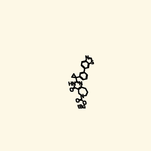 CC(C)(C)OC(=O)N1CCCc2nc(C3(c4cccc(-c5ccc6ncsc6c5)c4)CC3)[nH]c(=O)c2C1